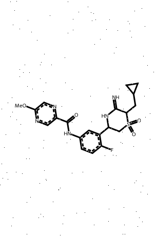 COc1cnc(C(=O)Nc2ccc(F)c(C3CS(=O)(=O)C(CC4CC4)C(=N)N3)c2)cn1